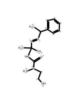 CC(N=NC(C)(C)NC(=O)N(N)CCO)c1ccccc1